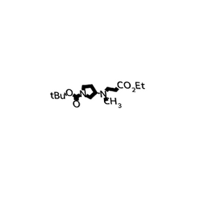 CCOC(=O)CCN(C)[C@H]1CCN(C(=O)OC(C)(C)C)C1